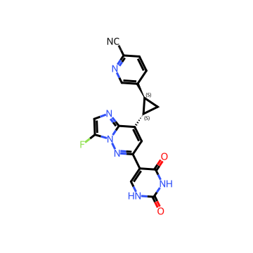 N#Cc1ccc([C@H]2C[C@@H]2c2cc(-c3c[nH]c(=O)[nH]c3=O)nn3c(F)cnc23)cn1